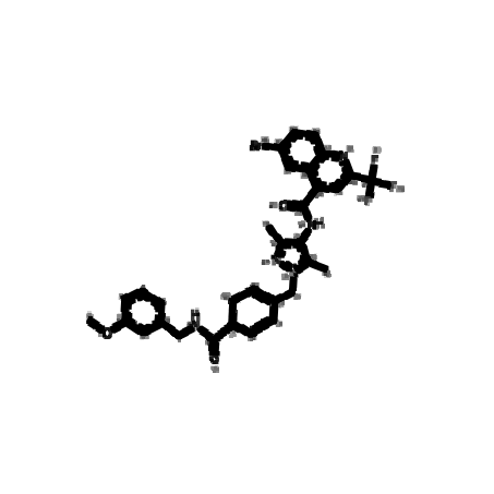 COc1cccc(CNC(=O)C2C=CC(Cn3nc(C)c(NC(=O)c4cc(C(F)(F)F)nc5ccc(Br)cc45)c3C)=CC2)c1